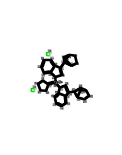 C1=C(C2CC3CCC2C3)c2ccccc2[CH]1[Zr+2](=[C]1CCCC1)[CH]1C=C(C2CC3CCC2C3)c2ccccc21.[Cl-].[Cl-]